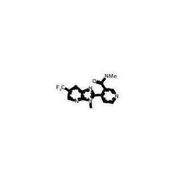 CNC(=O)c1cnccc1-c1nc2cc(C(F)(F)F)cnc2n1C